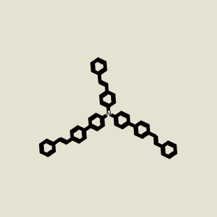 C(=C\c1ccc(-c2ccc(N(c3ccc(/C=C/c4ccccc4)cc3)c3ccc(-c4ccc(/C=C/c5ccccc5)cc4)cc3)cc2)cc1)/c1ccccc1